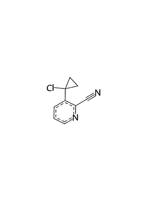 N#Cc1ncccc1C1(Cl)CC1